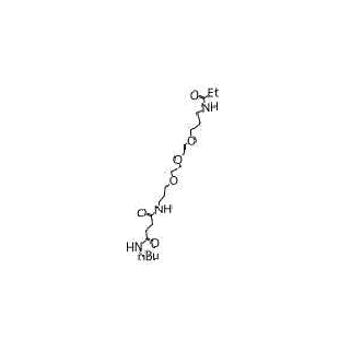 CCCCNC(=O)CCC(=O)NCCCOCCOCCOCCCNC(=O)CC